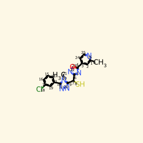 Cc1cc(-c2nc(C(S)c3nnc(-c4cccc(Cl)c4)n3C)no2)ccn1